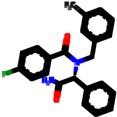 NC(=O)[C@@H](c1ccccc1)N(Cc1cccc(C(F)(F)F)c1)C(=O)c1ccc(F)cc1